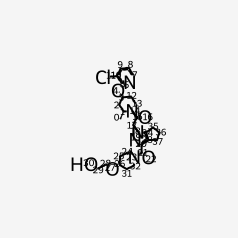 C[C@H]1C[C@H](Oc2ncccc2Cl)CCN1C(=O)Cn1nc(C(=O)N2CCC(OCCO)CC2)c2c1CCC2